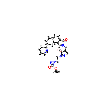 C=C(CN1Cc2c(ccc3ccc(-c4ccccn4)cc23)C1=O)C(=O)NCCNC(=O)OC(C)(C)C